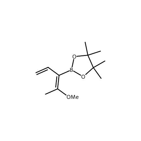 C=C/C(B1OC(C)(C)C(C)(C)O1)=C(\C)OC